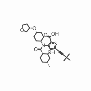 C[C@@H]1CC[C@@H](C(=O)N(c2cc(C#CC(C)(C)C)sc2C(=O)O)[C@H]2CC[C@H](O[C@@H]3CCOC3)CC2)[C@@H](O)C1